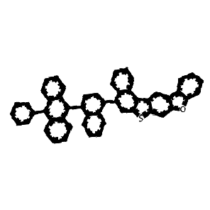 c1ccc(-c2c3ccccc3c(-c3ccc(-c4cc5sc6cc7oc8ccccc8c7cc6c5c5ccccc45)c4ccccc34)c3ccccc23)cc1